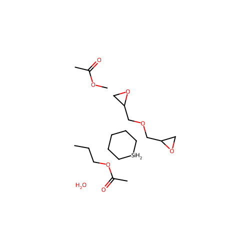 C(OCC1CO1)C1CO1.C1CC[SiH2]CC1.CCCOC(C)=O.COC(C)=O.O